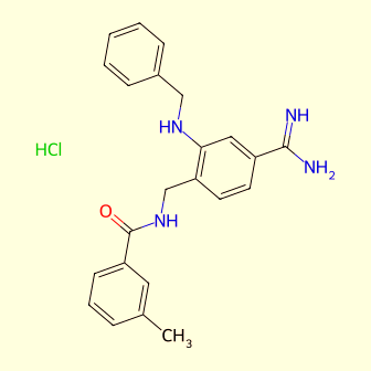 Cc1cccc(C(=O)NCc2ccc(C(=N)N)cc2NCc2ccccc2)c1.Cl